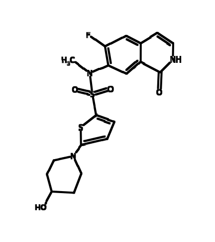 CN(c1cc2c(=O)[nH]ccc2cc1F)S(=O)(=O)c1ccc(N2CCC(O)CC2)s1